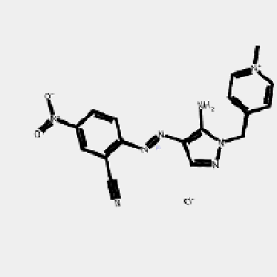 C[n+]1ccc(Cn2ncc(/N=N/c3ccc([N+](=O)[O-])cc3C#N)c2N)cc1.[Cl-]